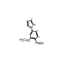 COc1cc(-n2cccn2)ccc1CO